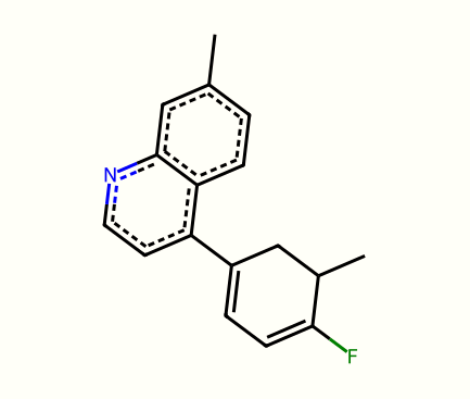 Cc1ccc2c(C3=CC=C(F)C(C)C3)ccnc2c1